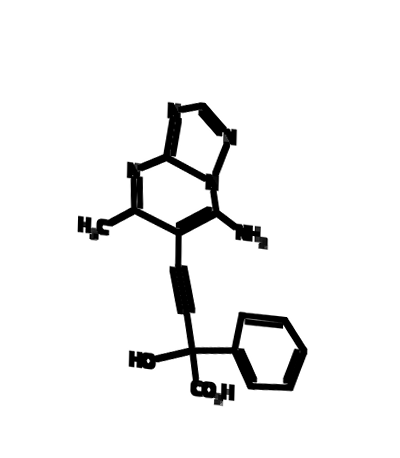 Cc1nc2ncnn2c(N)c1C#CC(O)(C(=O)O)c1ccccc1